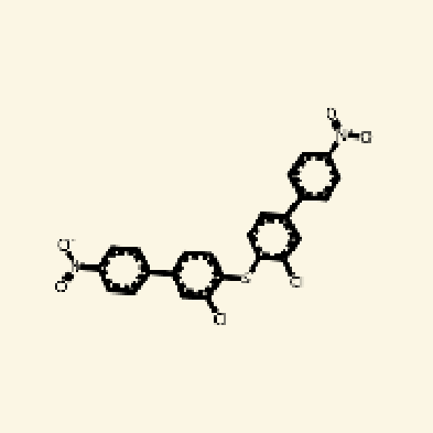 O=[N+]([O-])c1ccc(-c2ccc(Sc3ccc(-c4ccc([N+](=O)[O-])cc4)cc3Cl)c(Cl)c2)cc1